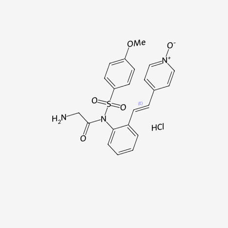 COc1ccc(S(=O)(=O)N(C(=O)CN)c2ccccc2/C=C/c2cc[n+]([O-])cc2)cc1.Cl